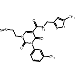 COCCn1cc(C(=O)NCc2cc(C)on2)c(=O)n(-c2cccc(C(F)(F)F)c2)c1=O